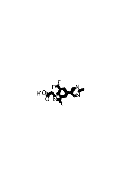 Cc1ncc(-c2cc(C(F)F)c3c(c2)c(I)nn3CC(=O)O)cn1